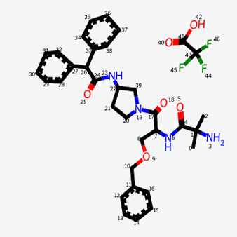 CC(C)(N)C(=O)NC(COCc1ccccc1)C(=O)N1CCC(NC(=O)C(c2ccccc2)c2ccccc2)C1.O=C(O)C(F)(F)F